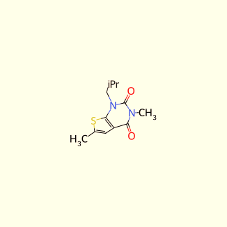 Cc1cc2c(=O)n(C)c(=O)n(CC(C)C)c2s1